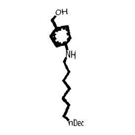 CCCCCCCCCCCCCCCCCNc1ccc(CO)cc1